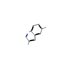 Clc1cnc2ccc(Br)cc2c1